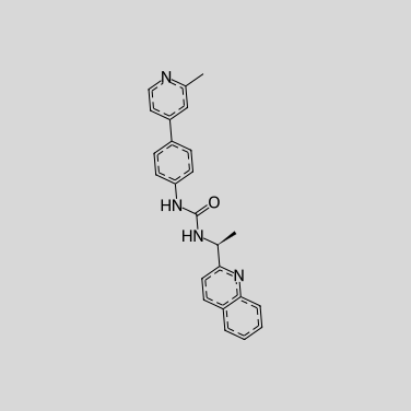 Cc1cc(-c2ccc(NC(=O)N[C@@H](C)c3ccc4ccccc4n3)cc2)ccn1